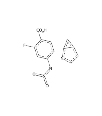 O=C(O)c1ccc(N=S(=O)=O)cc1F.c1cc2cc-2n1